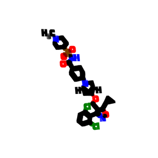 CN1CCC(S(=O)(=O)NC(=O)c2ccc(N3C[C@@H]4C[C@H]3C[C@H]4OCc3c(-c4c(Cl)cccc4Cl)noc3C3CC3)cc2)CC1